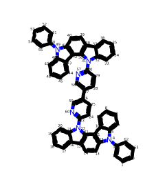 c1ccc(-n2c3ccccc3c3c2ccc2c4ccccc4n(-c4ccc(-c5ccc(-n6c7ccccc7c7ccc8c(c9ccccc9n8-c8ccccc8)c76)nc5)cn4)c23)cc1